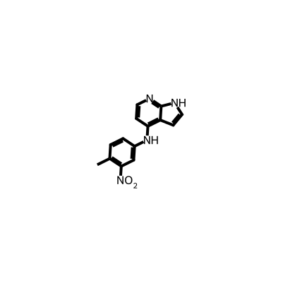 Cc1ccc(Nc2ccnc3[nH]ccc23)cc1[N+](=O)[O-]